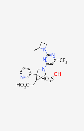 C[C@H]1CCN1c1nc(N2CC3C(CC(=O)O)C3(c3cccnc3)C2)cc(C(F)(F)F)n1.O=S(=O)(O)O